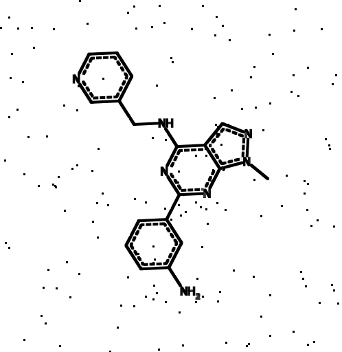 Cn1ncc2c(NCc3cccnc3)nc(-c3cccc(N)c3)nc21